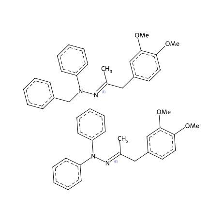 COc1ccc(C/C(C)=N/N(Cc2ccccc2)c2ccccc2)cc1OC.COc1ccc(C/C(C)=N/N(c2ccccc2)c2ccccc2)cc1OC